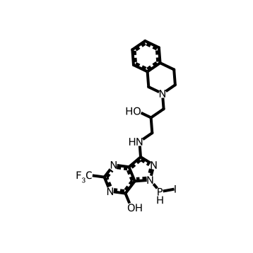 Oc1nc(C(F)(F)F)nc2c(NCC(O)CN3CCc4ccccc4C3)nn(PI)c12